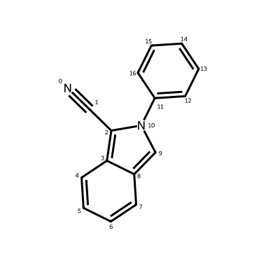 N#Cc1c2ccccc2cn1-c1ccccc1